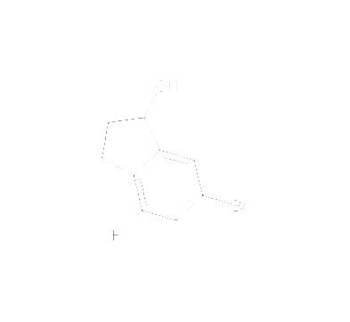 OC1CCc2c(F)cc(Br)cc21